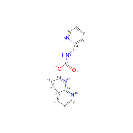 O=C(NCc1ccccn1)Oc1ccc2cccnc2n1